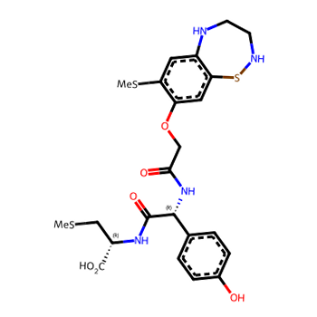 CSC[C@H](NC(=O)[C@H](NC(=O)COc1cc2c(cc1SC)NCCNS2)c1ccc(O)cc1)C(=O)O